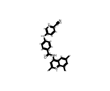 Cc1cc(C)c2nc(C)cc(NC(=O)c3ccc(Sc4ccc(C#N)nc4)cc3)c2c1